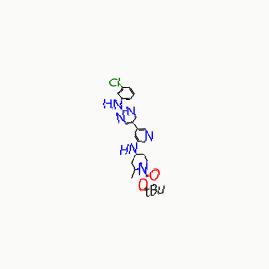 CC1CC(Nc2cncc(-c3cnc(Nc4cccc(Cl)c4)nc3)c2)CCN1C(=O)OC(C)(C)C